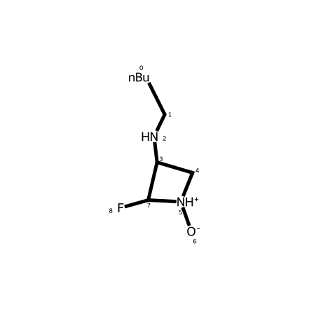 CCCCCNC1C[NH+]([O-])C1F